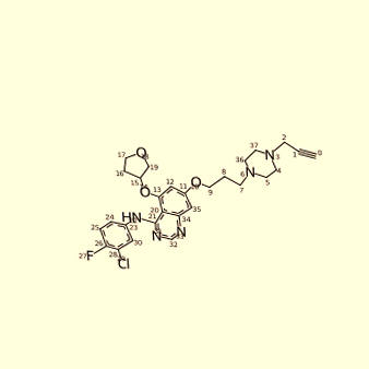 C#CCN1CCN(CCCOc2cc(OC3CCOC3)c3c(Nc4ccc(F)c(Cl)c4)ncnc3c2)CC1